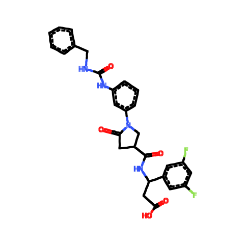 O=C(O)CC(NC(=O)C1CC(=O)N(c2cccc(NC(=O)NCc3ccccc3)c2)C1)c1cc(F)cc(F)c1